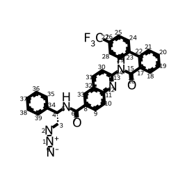 [N-]=[N+]=NC[C@@H](NC(=O)c1ccc2nc(NC(=O)c3ccccc3-c3ccc(C(F)(F)F)cc3)ccc2c1)c1ccccc1